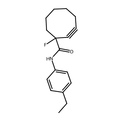 CCc1ccc(NC(=O)C2(F)C#CCCCCC2)cc1